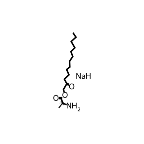 CCCCCCCCCCCC(=O)COC(=O)[C@H](C)N.[NaH]